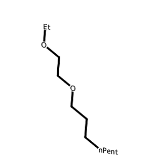 [CH2]CCCCCCCOCCOC[CH2]